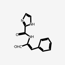 O=[C]C(=Cc1ccccc1)NC(=O)c1ncc[nH]1